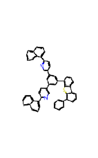 c1ccc(-c2cccc3c2sc2c(-c4cc(-c5ccc(-c6cccc7ccccc67)nc5)cc(-c5ccc(-c6cccc7ccccc67)nc5)c4)cccc23)cc1